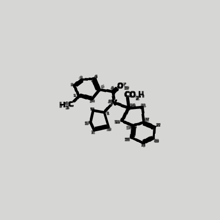 Cc1cccc(C(=O)N(C2C=CCC2)C2(C(=O)O)Cc3ccccc3C2)c1